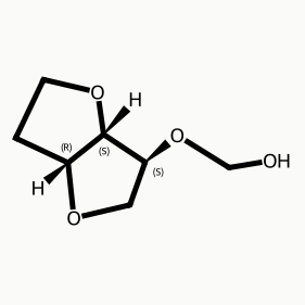 OCO[C@H]1CO[C@@H]2CCO[C@H]12